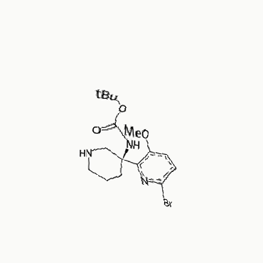 COc1ccc(Br)nc1[C@]1(NC(=O)OC(C)(C)C)CCCNC1